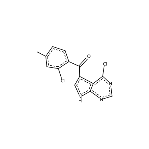 Cc1ccc(C(=O)c2c[nH]c3ncnc(Cl)c23)c(Cl)c1